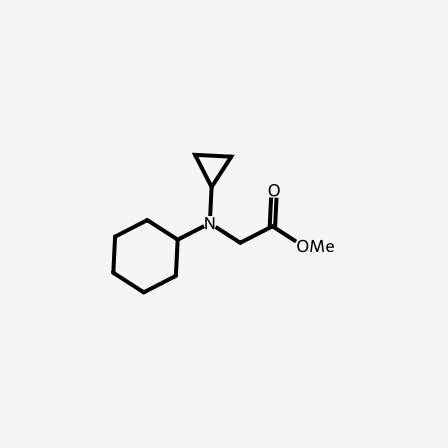 COC(=O)CN(C1CCCCC1)C1CC1